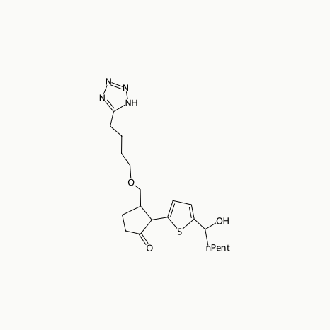 CCCCCC(O)c1ccc(C2C(=O)CCC2COCCCCc2nnn[nH]2)s1